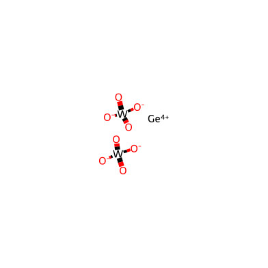 [Ge+4].[O]=[W](=[O])([O-])[O-].[O]=[W](=[O])([O-])[O-]